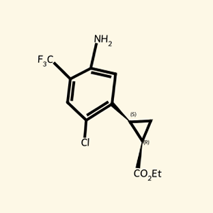 CCOC(=O)[C@@H]1C[C@@H]1c1cc(N)c(C(F)(F)F)cc1Cl